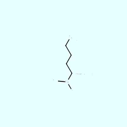 CC(=O)N(C(C)=O)[C@H](CCCN)C(=O)O